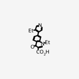 CCc1cnccc1-c1ccc2c(=O)c(C(=O)O)cn(CC)c2c1